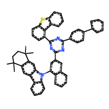 CC1(C)CCC(C)(C)c2cc3c(cc21)c1ccccc1n3-c1cc(-c2nc(-c3ccc(-c4ccccc4)cc3)nc(-c3cccc4sc5ccccc5c34)n2)cc2ccccc12